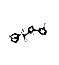 O=C(NC1CN2CCC1CC2)c1ccc(-c2cccc(F)c2)s1